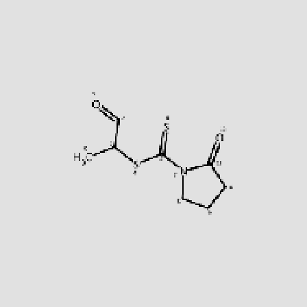 CC(C=O)SC(=S)N1CCCC1=O